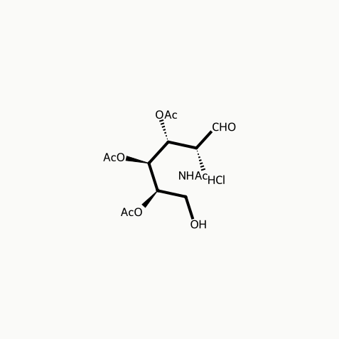 CC(=O)N[C@@H](C=O)[C@@H](OC(C)=O)[C@H](OC(C)=O)[C@@H](CO)OC(C)=O.Cl